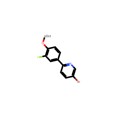 CCCCCCCCOc1ccc(-c2ccc(Br)cn2)cc1F